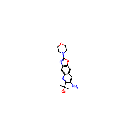 CC(C)(O)c1nc2cc3nc(N4CCOCC4)oc3cc2cc1N